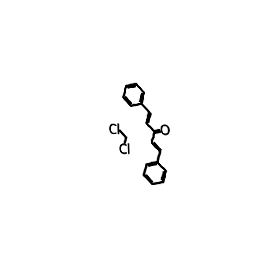 ClCCl.O=C(C=Cc1ccccc1)C=Cc1ccccc1